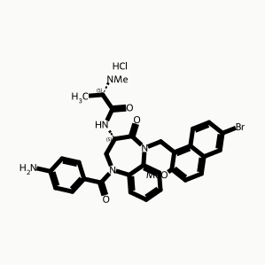 CN[C@@H](C)C(=O)N[C@H]1CN(C(=O)c2ccc(N)cc2)c2ccccc2N(Cc2c(OC)ccc3cc(Br)ccc23)C1=O.Cl